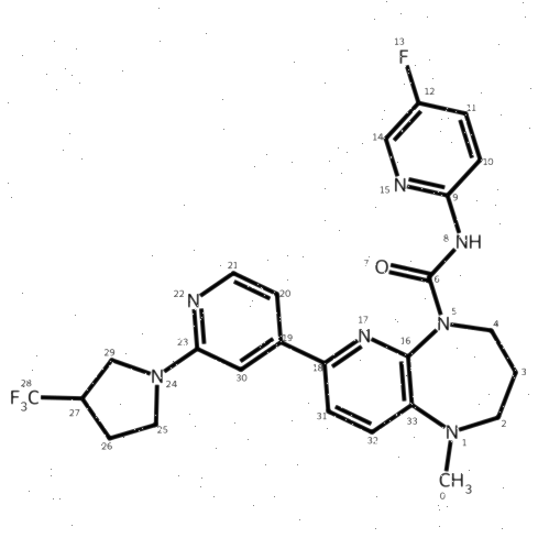 CN1CCCN(C(=O)Nc2ccc(F)cn2)c2nc(-c3ccnc(N4CCC(C(F)(F)F)C4)c3)ccc21